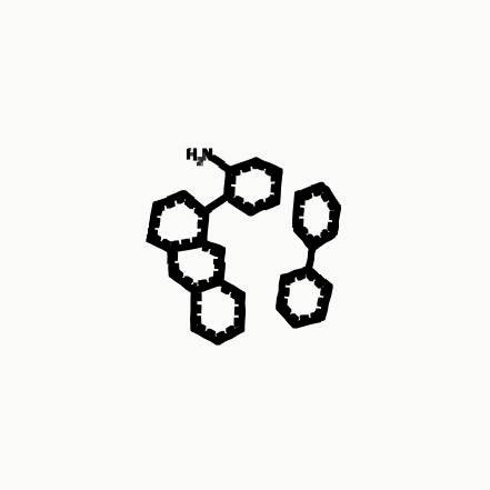 Nc1ccccc1-c1cccc2cc3ccccc3cc12.c1ccc(-c2ccccc2)cc1